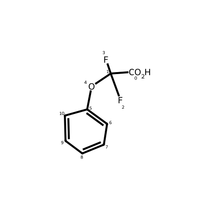 O=C(O)C(F)(F)Oc1ccccc1